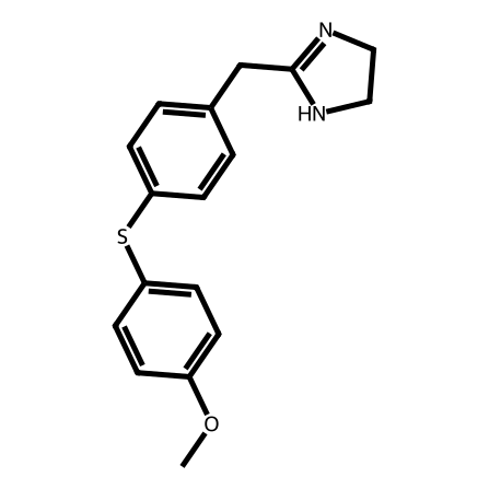 COc1ccc(Sc2ccc(CC3=NCCN3)cc2)cc1